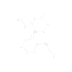 O=C=Nc1ccccc1N1CCOCC1C=O